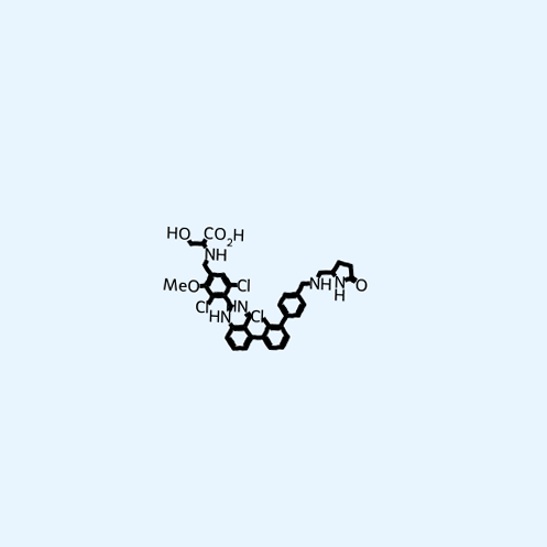 COc1c(CNC(CO)C(=O)O)cc(Cl)c(CNc2cccc(-c3cccc(-c4ccc(CNCC5CCC(=O)N5)cc4)c3Cl)c2C=N)c1Cl